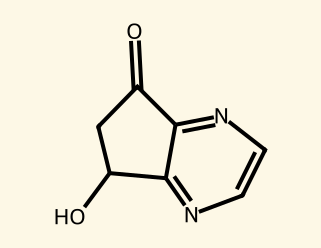 O=C1CC(O)c2nccnc21